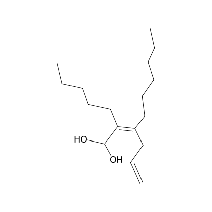 C=CCC(CCCCCC)=C(CCCCC)C(O)O